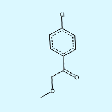 COCC(=O)c1ccc(Cl)cc1